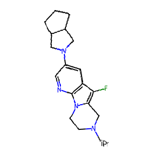 CC(C)N1CCn2c(c(F)c3cc(N4CC5CCCC5C4)cnc32)C1